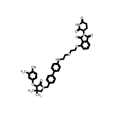 CC1(C)CN(Cc2ccc(-c3ccc(NCCOCCOc4cccc5c4C(=O)N(C4CCC(=O)NC4=O)C5=O)cc3)cc2)C(=O)C1Oc1ccc(C#N)c(C(F)(F)F)c1